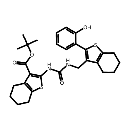 CC(C)(C)OC(=O)c1c(NC(=O)NCc2c(-c3ccccc3O)sc3c2CCCC3)sc2c1CCCC2